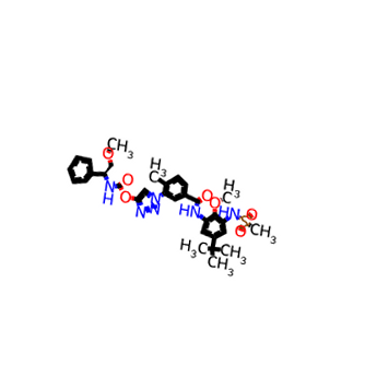 COC[C@@H](NC(=O)Oc1cn(-c2cc(C(=O)Nc3cc(C(C)(C)C)cc(NS(C)(=O)=O)c3OC)ccc2C)nn1)c1ccccc1